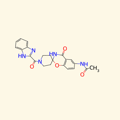 CC(=O)Nc1ccc2c(c1)C(=O)NC1(CCN(C(=O)c3nc4ccccc4[nH]3)CC1)O2